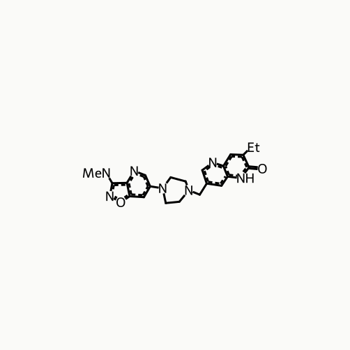 CCc1cc2ncc(CN3CCN(c4cnc5c(NC)noc5c4)CC3)cc2[nH]c1=O